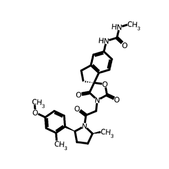 CNC(=O)Nc1ccc2c(c1)CC[C@@]21OC(=O)N(CC(=O)N2[C@@H](C)CC[C@H]2c2ccc(OC)cc2C)C1=O